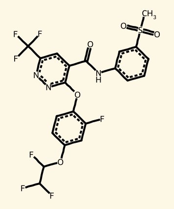 CS(=O)(=O)c1cccc(NC(=O)c2cc(C(F)(F)F)nnc2Oc2ccc(OC(F)C(F)F)cc2F)c1